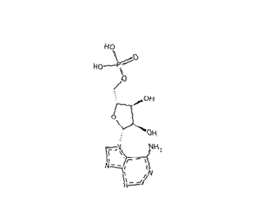 Nc1ncnc2ncn([C@@H]3O[C@H](COP(=O)(O)O)[C@@H](O)[C@H]3O)c12